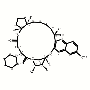 COc1ccc2nc3c(nc2c1)O[C@H]1CN(C(=O)[C@H](C2CCCCC2)NC(=O)O[C@]2(C)CCC[C@H]2CCCCC3(F)F)[C@H](C(C)=O)[C@@H]1C